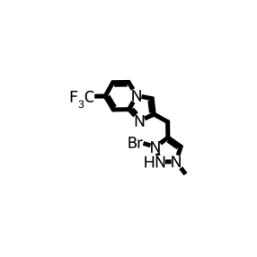 CN1C=C(Cc2cn3ccc(C(F)(F)F)cc3n2)N(Br)N1